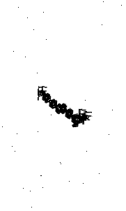 CCc1cc(-c2ccc(-c3ccc4cc(-c5ccc(-c6ccc(C(F)(F)F)cc6)cc5)ccc4c3)cc2)cc(C(F)(F)F)c1